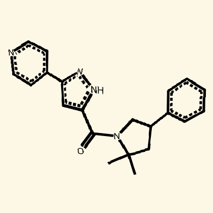 CC1(C)CC(c2ccccc2)CN1C(=O)c1cc(-c2ccncc2)n[nH]1